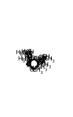 CO[C@]1(C)C[C@H](O[C@H]2[C@H](C)[C@@H](O[C@@H]3O[C@H](C)C[C@H](N(C)C)[C@H]3O)[C@](C)(O)C[C@@H](C)CN(C)C(=O)CC3CCCN3C(=O)[C@@H]2C)O[C@@H](C)[C@@H]1OC(C)O